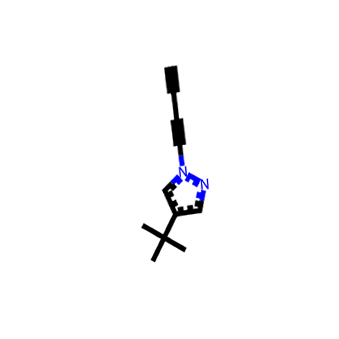 C#CC#Cn1cc(C(C)(C)C)cn1